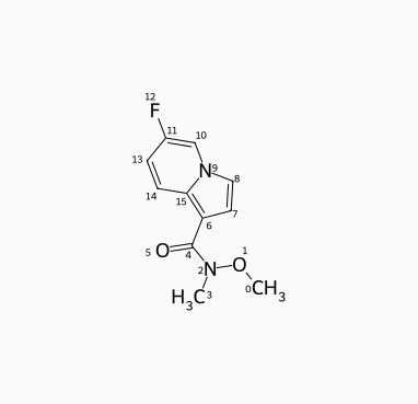 CON(C)C(=O)c1ccn2cc(F)ccc12